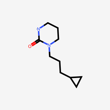 O=C1[N]CCCN1CCCC1CC1